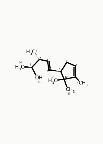 CC1=CC[C@H](/C=C/[C@@H](C)[C@H](C)O)C1(C)C